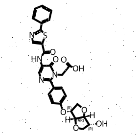 O=C(O)Cn1c(-c2ccc(O[C@@H]3CO[C@H]4[C@@H]3OC[C@H]4O)cc2)ncc(NC(=O)c2cnc(-c3ccccc3)s2)c1=O